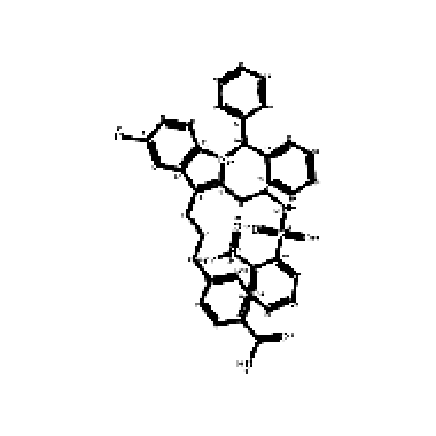 O=C(O)c1ccc(CCCc2c(CCNS(=O)(=O)c3ccccc3[N+](=O)[O-])n(C(c3ccccc3)c3ccccc3)c3ccc(Cl)cc23)cc1